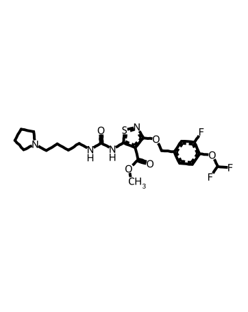 COC(=O)c1c(OCc2ccc(OC(F)F)c(F)c2)nsc1NC(=O)NCCCCN1CCCC1